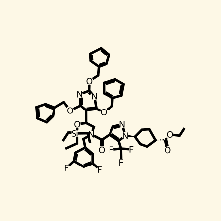 CCOC(=O)[C@H]1CC[C@H](n2ncc(C(=O)N(Cc3cc(F)cc(F)c3)CC(O[Si](CC)(CC)CC)c3c(OCc4ccccc4)nc(OCc4ccccc4)nc3OCc3ccccc3)c2C(F)(F)F)CC1